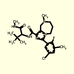 CNC(=O)C(NC(=O)c1nc(-c2cc(Cl)cc(C)c2F)n2c1CN(C)CCC2)C(C)(C)C